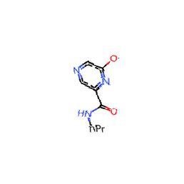 CCCNC(=O)c1cncc([O])n1